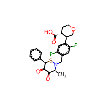 C[C@H]1C(=O)C(=O)[C@@H](c2ccccc2)SN1Cc1cc(F)c([C@@H]2COCC[C@H]2C(=O)O)cc1F